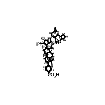 CC(C)C1=C2[C@H]3CC[C@@H]4[C@@]5(C)CC=C(c6ccc(C(=O)O)cc6)C(C)(C)[C@@H]5CC[C@@]4(C)[C@]3(C)CC[C@@]2([C@@H](O)CN(CC2CC2)C(=O)CN2CCCC2=O)CC1=O